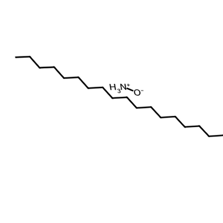 CCCCCCCCCCCCCCCCCCN.[NH3+][O-]